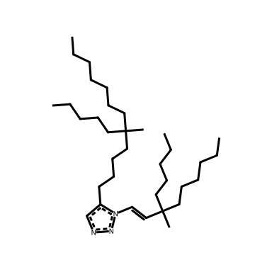 CCCCCCCC(C)(CCCCC)CCCCc1cnnn1/C=C/C(C)(CCCCC)CCCCCC